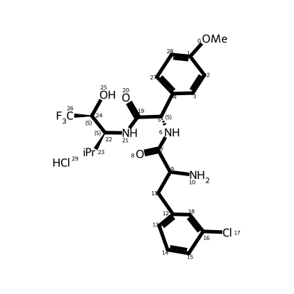 COc1ccc([C@H](NC(=O)C(N)Cc2cccc(Cl)c2)C(=O)N[C@@H](C(C)C)[C@H](O)C(F)(F)F)cc1.Cl